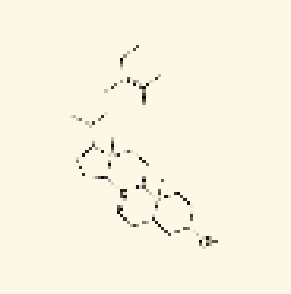 CCC(CCC(C)C1CCC2C3=CCC4CC(O)CCC4(C)C3CCC21C)=C(C)C